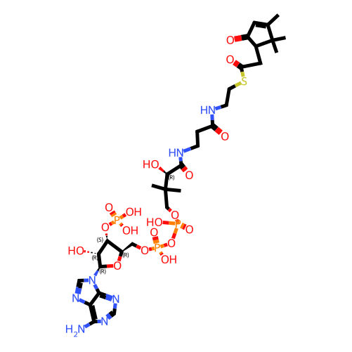 CC1=CC(=O)C(CC(=O)SCCNC(=O)CCNC(=O)[C@H](O)C(C)(C)COP(=O)(O)OP(=O)(O)OC[C@H]2O[C@@H](n3cnc4c(N)ncnc43)[C@H](O)[C@@H]2OP(=O)(O)O)C1(C)C